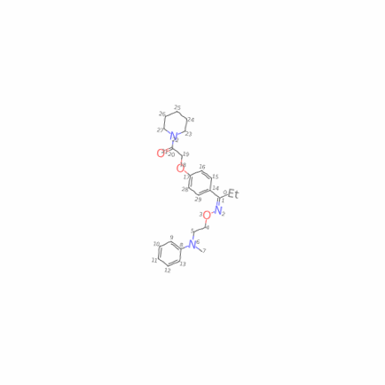 CCC(=NOCCN(C)c1ccccc1)c1ccc(OCC(=O)N2CCCCC2)cc1